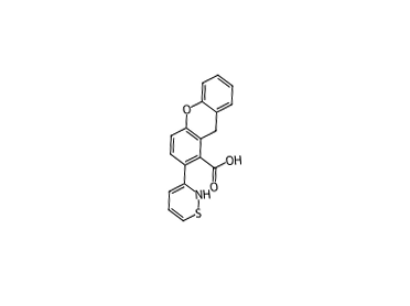 O=C(O)c1c(C2=CC=CSN2)ccc2c1Cc1ccccc1O2